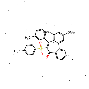 COc1cc(OC)c2c(-c3cccc(C)c3)c(S(=O)(=O)c3ccc(C)cc3)c(=O)c3ccccc3c2c1